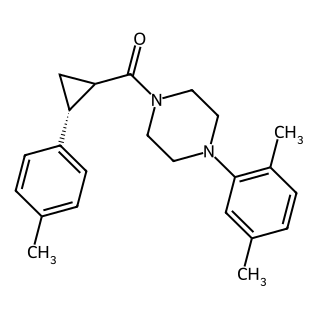 Cc1ccc([C@@H]2CC2C(=O)N2CCN(c3cc(C)ccc3C)CC2)cc1